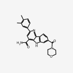 Cc1ccc(-c2cc(C(N)=O)c3[nH]c4cc(C(=O)N5CCOCC5)ccc4c3n2)cc1C